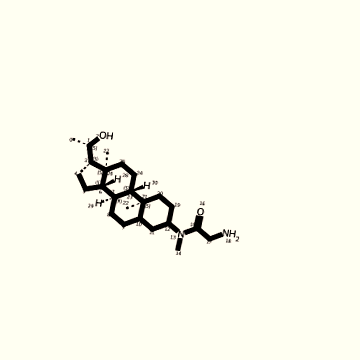 C[C@H](O)[C@H]1CC[C@H]2[C@@H]3CCC4CC(N(C)C(=O)CN)CC[C@]4(C)[C@H]3CC[C@]12C